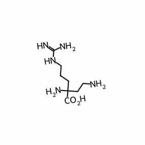 N=C(N)NCCCC(N)(CCN)C(=O)O